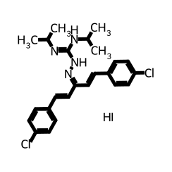 CC(C)N=C(NN=C(C=Cc1ccc(Cl)cc1)C=Cc1ccc(Cl)cc1)NC(C)C.I